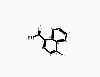 CCC(=O)c1ccc(F)c2ccccc12